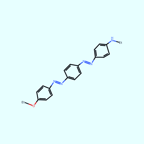 CCNc1ccc(N=Nc2ccc(N=Nc3ccc(OCC)cc3)cc2)cc1